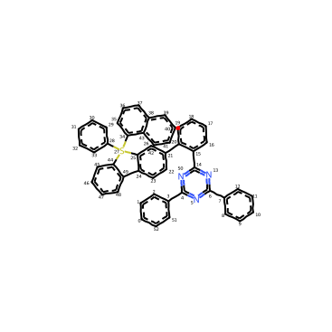 c1ccc(-c2nc(-c3ccccc3)nc(-c3ccccc3-c3ccc4c(c3)S(c3ccccc3)(c3cccc5ccccc35)c3ccccc3-4)n2)cc1